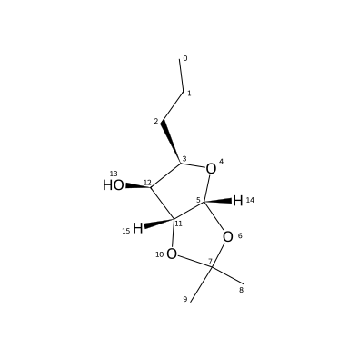 CCC[C@H]1O[C@@H]2OC(C)(C)O[C@@H]2[C@H]1O